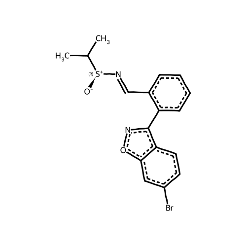 CC(C)[S@+]([O-])N=Cc1ccccc1-c1noc2cc(Br)ccc12